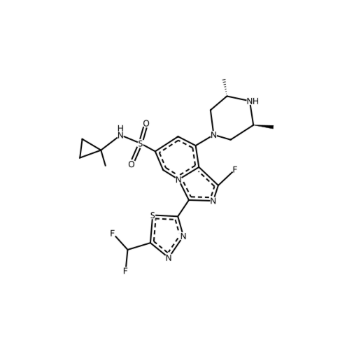 C[C@H]1CN(c2cc(S(=O)(=O)NC3(C)CC3)cn3c(-c4nnc(C(F)F)s4)nc(F)c23)C[C@H](C)N1